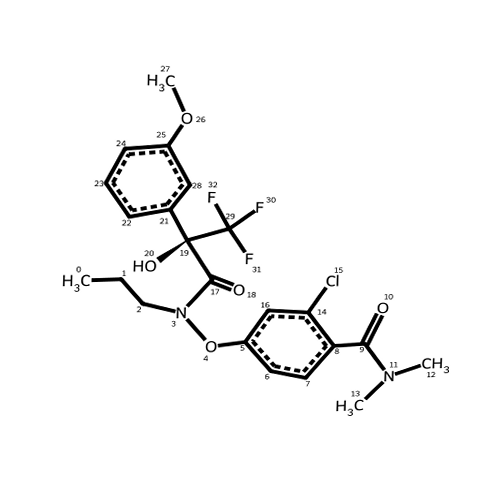 CCCN(Oc1ccc(C(=O)N(C)C)c(Cl)c1)C(=O)[C@](O)(c1cccc(OC)c1)C(F)(F)F